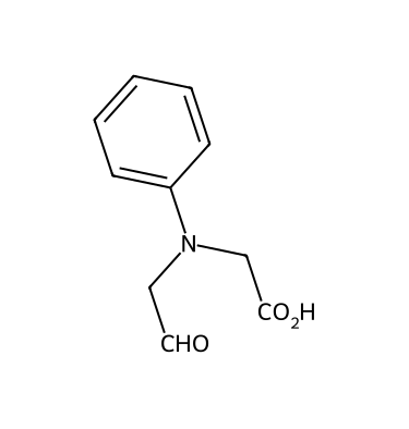 O=CCN(CC(=O)O)c1ccccc1